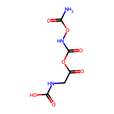 NC(=O)ONC(=O)OC(=O)CNC(=O)O